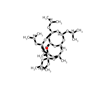 C[SiH](C)O[SiH]1O[Si]2(C)O[Si]3(C)O[Si]4(C)O[Si](C)(O2)O[Si](O[SiH](C)C)(O1)O[Si](O[SiH](C)C)(O4)O[Si](O[SiH3])(O[SiH](C)C)O3